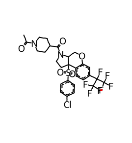 CC(=O)N1CCC(C(=O)N2CCC3(S(=O)(=O)c4ccc(Cl)cc4)c4ccc(C(F)(C(F)(F)F)C(F)(F)F)cc4OCC23)CC1